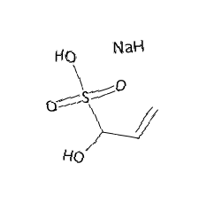 C=CC(O)S(=O)(=O)O.[NaH]